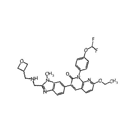 CCOc1ccc2cc(-c3ccc4nc(CNCC5COC5)n(C)c4c3)c(=O)n(-c3ccc(OC(F)F)cc3)c2n1